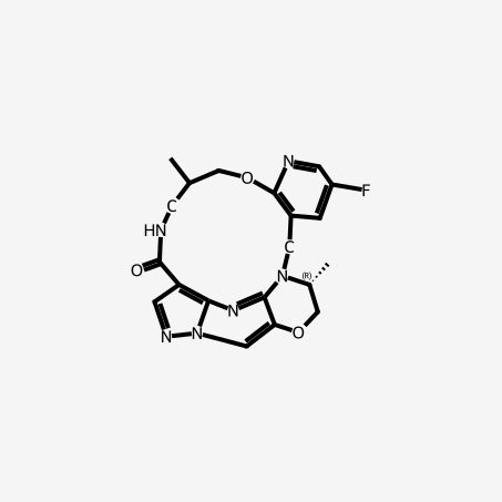 CC1CNC(=O)c2cnn3cc4c(nc23)N(Cc2cc(F)cnc2OC1)[C@H](C)CO4